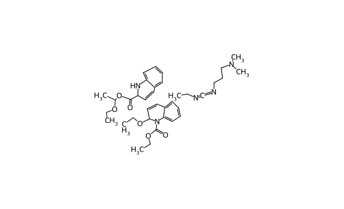 CCN=C=NCCCN(C)C.CCOC(=O)N1c2ccccc2C=CC1OCC.CCOC(C)OC(=O)C1C=Cc2ccccc2N1